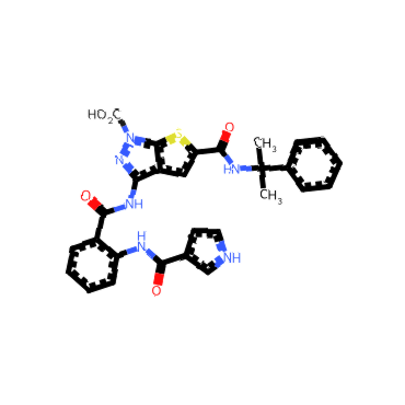 CC(C)(NC(=O)c1cc2c(NC(=O)c3ccccc3NC(=O)c3cc[nH]c3)nn(C(=O)O)c2s1)c1ccccc1